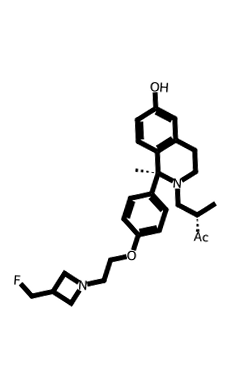 CC(=O)[C@@H](C)CN1CCc2cc(O)ccc2[C@]1(C)c1ccc(OCCN2CC(CF)C2)cc1